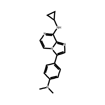 CN(C)c1ccc(-c2cnc3c(NC4CC4)nccn23)cc1